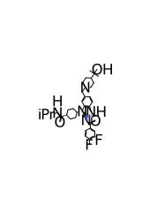 CC(C)NC(=O)[C@H]1CC[C@@H](n2/c(=N/C(=O)c3ccc(F)c(F)c3)[nH]c3ccc(CN4CCC(C(C)(C)O)CC4)cc32)CC1